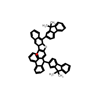 CC1(C)c2ccccc2-c2ccc(C3=c4ccccc4=CC4c5ccc(C(c6ccc7c(c6)C(C)(C)c6ccccc6-7)c6ccccc6-c6ccccc6)cc5OC34)cc21